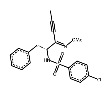 CC#C/C(=N\OC)[C@@H](Cc1ccccc1)NS(=O)(=O)c1ccc(Cl)cc1